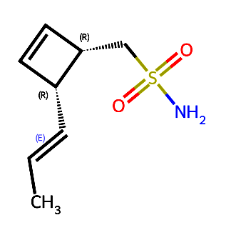 C/C=C/[C@@H]1C=C[C@@H]1CS(N)(=O)=O